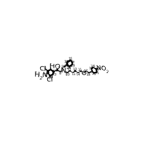 Nc1c(Cl)cc(C(O)CN(CCCCCCOCCc2ccc([N+](=O)[O-])cc2)Cc2ccccc2)cc1Cl